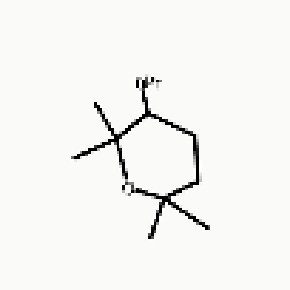 CCCC1CCC(C)(C)OC1(C)C